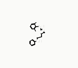 Cc1cccc(C)c1NC1=NC(=O)C(CC(=O)Nc2ccccc2)S1